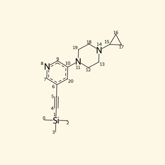 C[Si](C)(C)C#Cc1cncc(N2CCN(C3CC3)CC2)c1